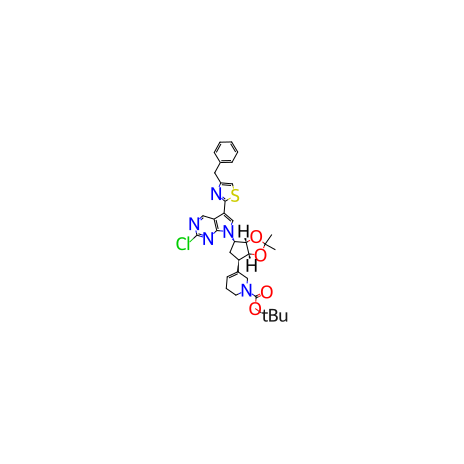 CC(C)(C)OC(=O)N1CCC=C([C@H]2C[C@@H](n3cc(-c4nc(Cc5ccccc5)cs4)c4cnc(Cl)nc43)[C@@H]3OC(C)(C)O[C@@H]32)C1